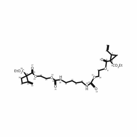 C=CC1CC1(C(=O)OCC)C(=O)OCCOC(=O)NCCCCNC(=O)OCCOC(=O)C1(C(=O)OCC)CCC1=C